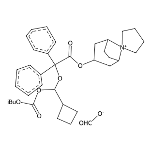 CC(C)COC(=O)OC(OC(C(=O)OC1CC2CCC(C1)[N+]21CCCC1)(c1ccccc1)c1ccccc1)C1CCC1.O=C[O-]